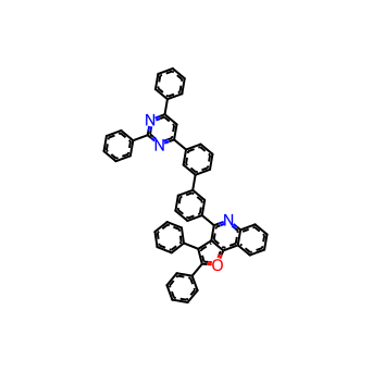 c1ccc(-c2cc(-c3cccc(-c4cccc(-c5nc6ccccc6c6oc(-c7ccccc7)c(-c7ccccc7)c56)c4)c3)nc(-c3ccccc3)n2)cc1